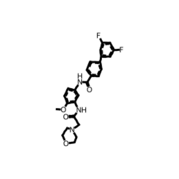 COc1ccc(NC(=O)c2ccc(-c3cc(F)cc(F)c3)cc2)cc1NC(=O)CN1CCOCC1